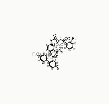 CCOC(=O)C(COC(=O)Cc1ccc(NC(=O)c2cc(C)ccc2-c2ccc(C(F)(F)F)cc2)c(C(=O)N(C)C)c1)(C(=O)OCC)c1ccccc1